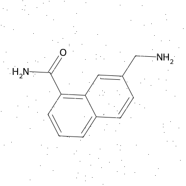 NCc1ccc2cccc(C(N)=O)c2c1